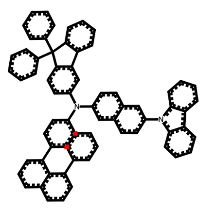 c1ccc(-c2cccc3cccc(-c4ccc(N(c5ccc6c(c5)-c5ccccc5C6(c5ccccc5)c5ccccc5)c5ccc6cc(-n7c8ccccc8c8ccccc87)ccc6c5)cc4)c23)cc1